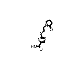 O=C(O)c1csc(SCCN2CCCC2=O)n1